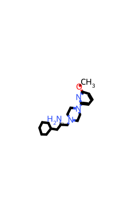 COc1cccc(N2CCN(C[C@@H](N)CC3CCCCC3)CC2)n1